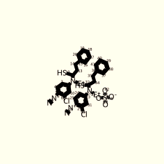 CCN(c1ccc([N+]#N)c(Cl)c1)C(S)CCc1ccccc1.CCN(c1ccc([N+]#N)c(Cl)c1)C(S)CCc1ccccc1.O=S(=O)([O-])[O-]